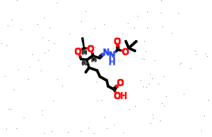 CC(CCCCC(=O)O)[C@H]1CO[C@@H](C)O[C@H]1C=NNC(=O)OC(C)(C)C